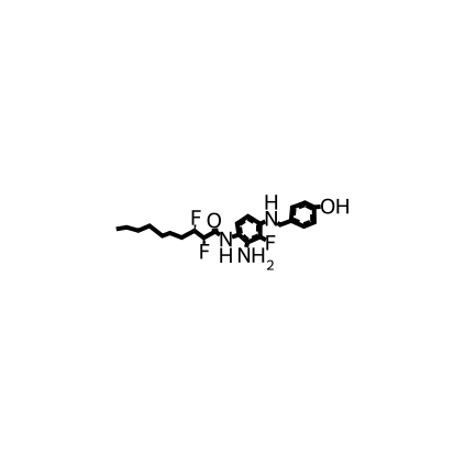 CCCCCCC[C@H](F)[C@H](F)C(=O)Nc1ccc(NCc2ccc(O)cc2)c(F)c1N